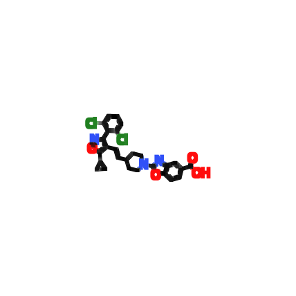 O=C(O)c1ccc2oc(N3CCC(C=Cc4c(-c5c(Cl)cccc5Cl)noc4C4CC4)CC3)nc2c1